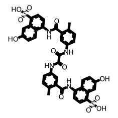 Cc1ccc(NC(=O)C(=O)Nc2ccc(C)c(C(=O)Nc3ccc(S(=O)(=O)O)c4cc(O)ccc34)c2)cc1C(=O)Nc1ccc(S(=O)(=O)O)c2cc(O)ccc12